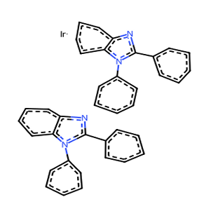 [Ir].c1ccc(-c2nc3ccccc3n2-c2ccccc2)cc1.c1ccc(-c2nc3ccccc3n2-c2ccccc2)cc1